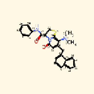 CN(C)c1c(Cc2cccc3ccccc23)cc(=O)n2c1SC[C@H]2C(=O)Nc1ccccc1